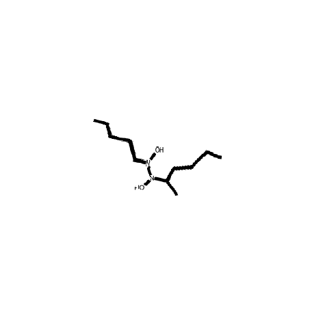 CCCCCN(O)N(O)C(C)CCCC